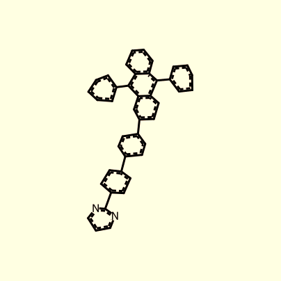 c1ccc(-c2c3ccccc3c(-c3ccccc3)c3cc(-c4ccc(-c5ccc(-c6ncccn6)cc5)cc4)ccc23)cc1